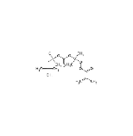 C=C(C)C(=O)OOC(C)(C)OC(=O)OC(C)(C)CC(C)(C)C